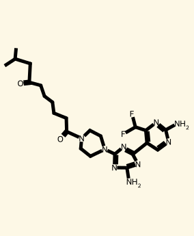 CC(C)CC(=O)CCCCCC(=O)N1CCN(c2nc(N)nc(-c3cnc(N)nc3C(F)F)n2)CC1